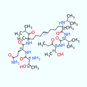 CCC(=O)[C@@H](NC(=O)[C@@H](NC(=O)[C@](C)(CCC/C=C/CCC[C@](C)(NC(=O)[C@H](CCC(N)=O)NC(=O)[C@H](N)[C@@H](C)O)C(=O)C(C)C)NC(C)C)C(C)C)[C@@H](C)O